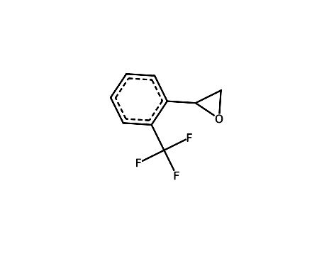 FC(F)(F)c1ccccc1C1CO1